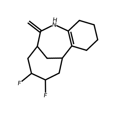 C=C1NC2=C(CCCC2)C2CC1CC(F)C(F)C2